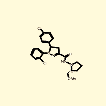 COC[C@H]1CCCN1NC(=O)C1=NN(c2ccccc2Cl)C(c2ccc(Cl)cc2)C1